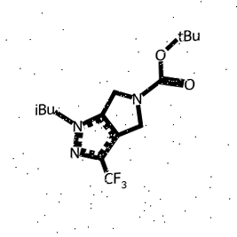 CCC(C)n1nc(C(F)(F)F)c2c1CN(C(=O)OC(C)(C)C)C2